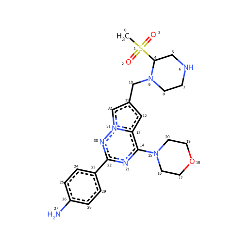 CS(=O)(=O)C1CNCCN1Cc1cc2c(N3CCOCC3)nc(-c3ccc(N)cc3)nn2c1